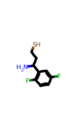 NC(CCS)c1cc(F)ccc1F